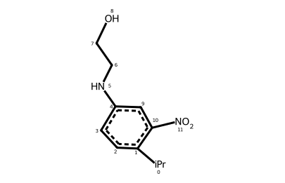 CC(C)c1ccc(NCCO)cc1[N+](=O)[O-]